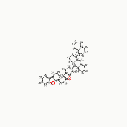 c1ccc2c(-c3cccc4c(-c5ccc6c(c5)oc5ccc7c(ccc8c9ccccc9oc87)c56)c5ccccc5cc34)cccc2c1